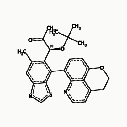 CC(=O)[C@@H](OC(C)(C)C)c1c(C)cc2ncsc2c1-c1ccc2c3c(ccnc13)CCO2